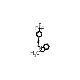 CC1Cc2ccccc2N1CC#Cc1ccc(C(F)(F)F)cc1